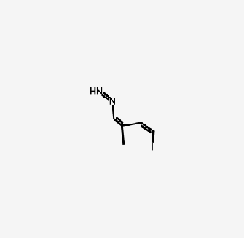 CC(/C=C\I)=C/N=N